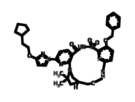 CC1(C)C[C@@H]2CCCNc3ccc(OCc4ccccc4)c(n3)S(=O)(=O)NC(=O)c3ccc(-n4ccc(OCCC5CCCC5)n4)nc3N1C2